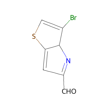 O=CC1=NC2C(Br)=CSC2=C1